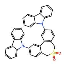 O=S1(=O)Cc2ccc(-n3c4ccccc4c4ccccc43)cc2-c2cc(-n3c4ccccc4c4ccccc43)ccc2C1